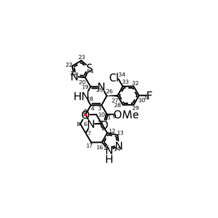 COC(=O)C1=C(CN2C3COCC2c2cn[nH]c2C3)NC(c2nccs2)=N[C@H]1c1ccc(F)cc1Cl